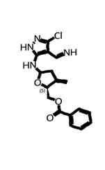 C=C1CC(Nc2[nH]nc(Cl)c2C=N)O[C@@H]1COC(=O)c1ccccc1